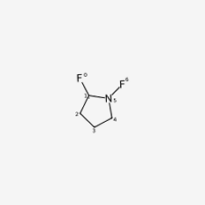 F[C]1CCCN1F